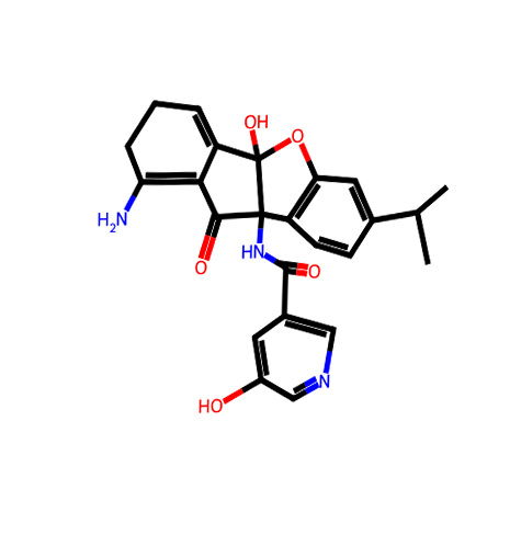 CC(C)c1ccc2c(c1)OC1(O)C3=CCCC(N)=C3C(=O)C21NC(=O)c1cncc(O)c1